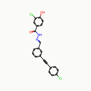 O=C(N/N=C/c1cccc(C#Cc2ccc(Cl)cc2)c1)c1ccc(O)c(Cl)c1